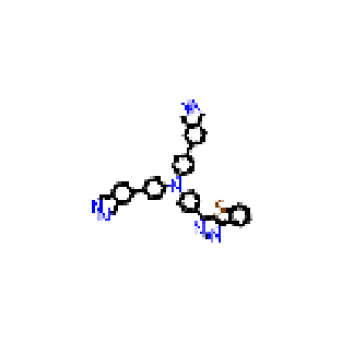 c1ccc2c(c1)sc1c(-c3ccc(N(c4ccc(-c5ccc6cnncc6c5)cc4)c4ccc(-c5ccc6cnncc6c5)cc4)cc3)ncnc12